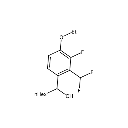 CCCCCCC(O)c1ccc(OCC)c(F)c1C(F)F